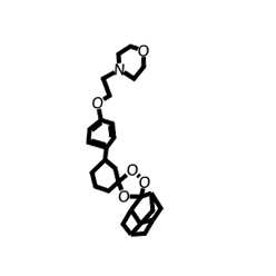 c1cc(C2CCCC3(C2)OOC2(O3)C3CC4CC(C3)CC2C4)ccc1OCCN1CCOCC1